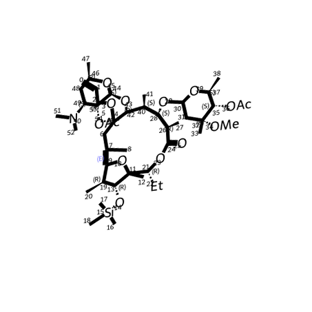 C=CCO[C@]1(C)C/C(C)=C2/OC(C)([C@H](O[Si](C)(C)C)[C@H]2C)[C@@H](CC)OC(=O)[C@H](C)[C@@H](OC2C[C@@](C)(OC)[C@@H](OC(C)=O)[C@H](C)O2)[C@H](C)[C@H]1O[C@@H]1O[C@H](C)C[C@H](N(C)C)[C@H]1OC(C)=O